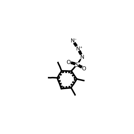 Cc1cc(C)c(C)c(S(=O)(=O)N=[N+]=[N-])c1C